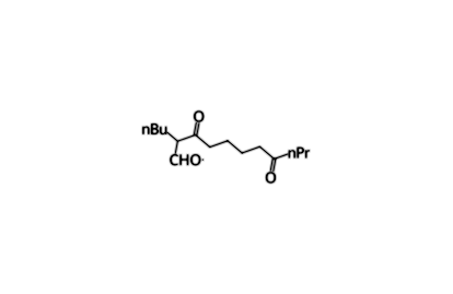 CCCCC([C]=O)C(=O)CCCCC(=O)CCC